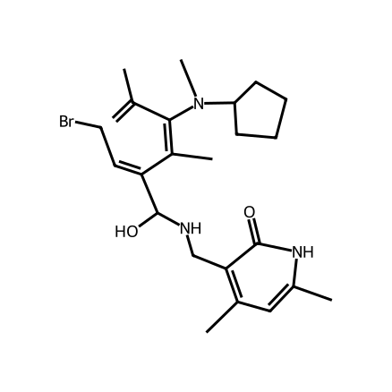 C=C(C)/C(=C(C)\C(=C/CBr)C(O)NCc1c(C)cc(C)[nH]c1=O)N(C)C1CCCC1